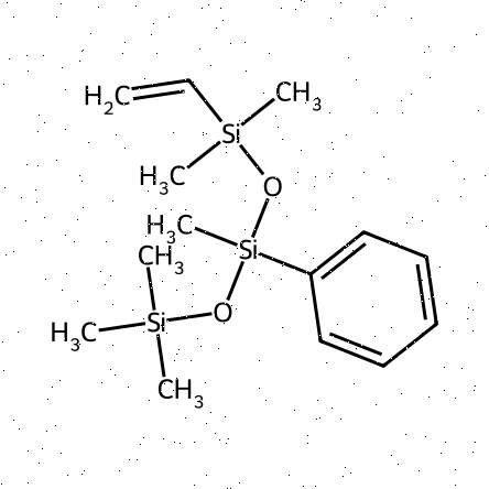 C=C[Si](C)(C)O[Si](C)(O[Si](C)(C)C)c1ccccc1